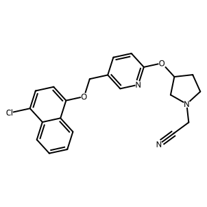 N#CCN1CCC(Oc2ccc(COc3ccc(Cl)c4ccccc34)cn2)C1